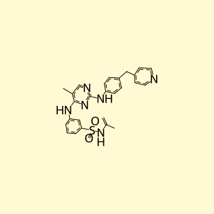 C=C(C)NS(=O)(=O)c1cccc(Nc2nc(Nc3ccc(Cc4ccncc4)cc3)ncc2C)c1